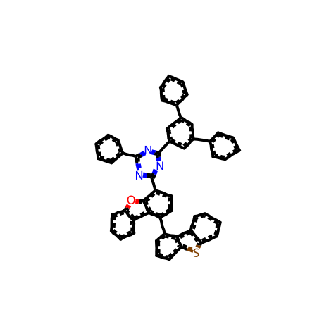 c1ccc(-c2cc(-c3ccccc3)cc(-c3nc(-c4ccccc4)nc(-c4ccc(-c5cccc6sc7ccccc7c56)c5c4oc4ccccc45)n3)c2)cc1